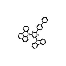 c1ccc(-c2ccc(-c3nc(N4c5ccccc5-c5cccc6cccc4c56)nc(-n4c5ccccc5c5ccccc54)n3)cc2)cc1